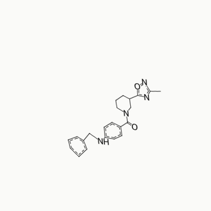 Cc1noc(C2CCCN(C(=O)c3ccc(NCc4ccccc4)cc3)C2)n1